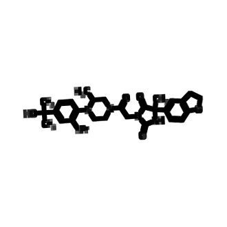 CCCc1cc(C(O)(C(F)(F)F)C(F)(F)F)ccc1N1CCN(C(=O)CN2C(=O)NC(C)(c3ccc4c(c3)CCO4)C2=O)CC1C